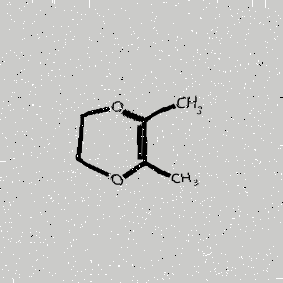 CC1=C(C)OCCO1